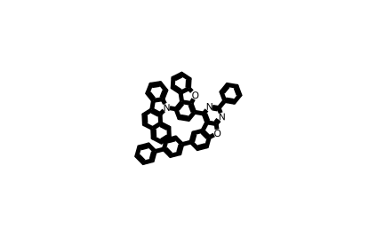 c1ccc(-c2ccc(-c3ccc4oc5nc(-c6ccccc6)nc(-c6ccc(-n7c8ccccc8c8ccc9ccccc9c87)c7c6oc6ccccc67)c5c4c3)cc2)cc1